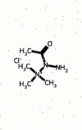 CC(=O)N(N)[N+](C)(C)C.[Cl-]